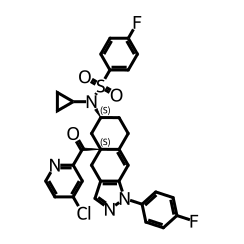 O=C(c1cc(Cl)ccn1)[C@]12Cc3cnn(-c4ccc(F)cc4)c3C=C1CC[C@H](N(C1CC1)S(=O)(=O)c1ccc(F)cc1)C2